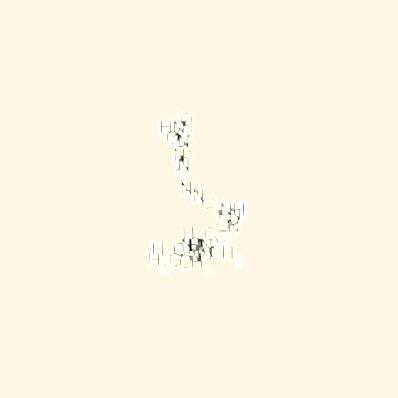 Cc1cc(-c2ncnc3[nH]c(-c4ccc(N5CCN(CC6CCN(c7ccc(N8CCC(=O)NC8=O)cn7)CC6)CC5)cc4)cc23)ccc1C(C)NC(=O)c1nc(C(C)(C)C)no1